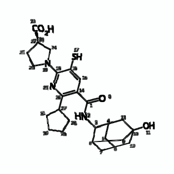 O=C(NC1C2CC3CC1CC(O)(C3)C2)c1cc(S)c(N2CC[C@@H](C(=O)O)C2)nc1C1CCCC1